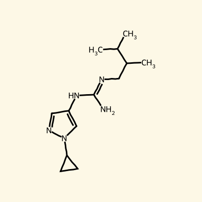 CC(C)C(C)C/N=C(\N)Nc1cnn(C2CC2)c1